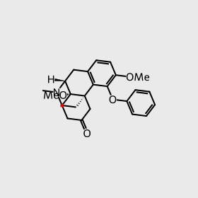 COc1ccc2c(c1Oc1ccccc1)[C@]13CCN(C)[C@H](C2)[C@]1(OC)CCC(=O)C3